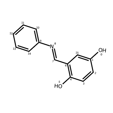 Oc1ccc(O)c(/C=N/c2cc[c]cc2)c1